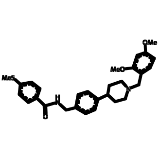 COc1ccc(CN2CCC(c3ccc(CNC(=O)c4ccc(SC)cc4)cc3)CC2)c(OC)c1